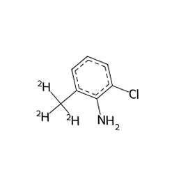 [2H]C([2H])([2H])c1cccc(Cl)c1N